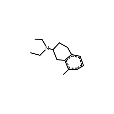 CCN(CC)C1CCc2cccc(C)c2C1